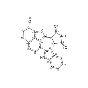 O=C1NC(=O)[C@H](c2cn3c4c(cccc24)CCC3=O)[C@H]1c1c[nH]c2ccccc12